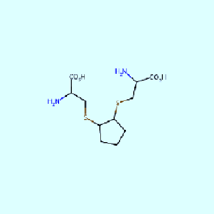 NC(CSC1CCCC1SCC(N)C(=O)O)C(=O)O